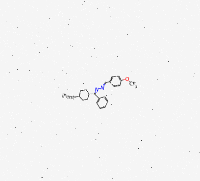 CCCC(C)[C@H]1CC[C@H](C(=NN=Cc2ccc(OC(F)(F)F)cc2)c2ccccc2)CC1